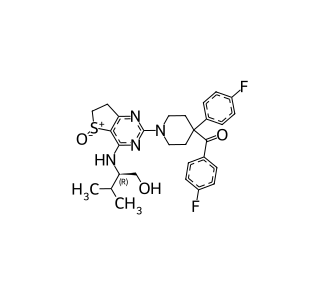 CC(C)[C@H](CO)Nc1nc(N2CCC(C(=O)c3ccc(F)cc3)(c3ccc(F)cc3)CC2)nc2c1[S+]([O-])CC2